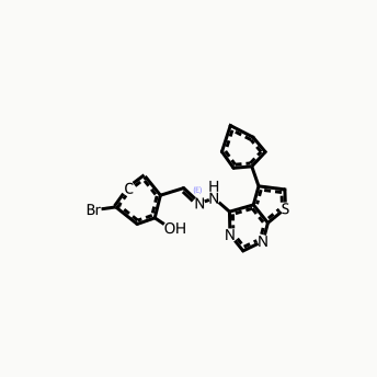 Oc1cc(Br)ccc1/C=N/Nc1ncnc2scc(-c3ccccc3)c12